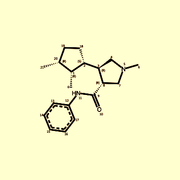 C[C@H]1[C@@H]([C@H]2CN(C)C[C@@H]2C(=O)Nc2ccccc2)CC[C@H]1C